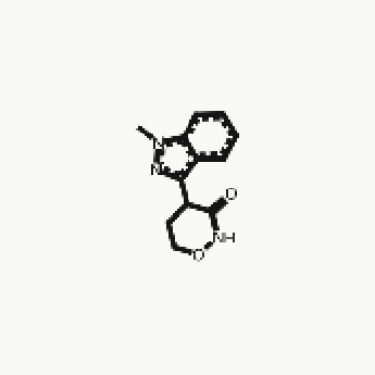 Cn1nc(C2CCONC2=O)c2ccccc21